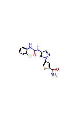 NC(=O)c1cc(-n2cc(NC(=O)Nc3ccccc3Cl)cn2)cs1